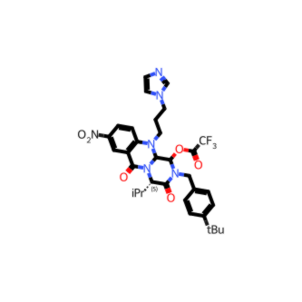 CC(C)[C@H]1C(=O)N(Cc2ccc(C(C)(C)C)cc2)C(OC(=O)C(F)(F)F)C2N(CCCn3ccnc3)c3ccc([N+](=O)[O-])cc3C(=O)N21